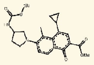 COC(=O)c1cc(C2CC2)c2c(C)c(N3CCC(NC(=O)OC(C)(C)C)C3)ccn2c1=O